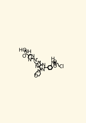 CN(Cc1nc2c(N3CCOCC3)nc(-c3cccc(NS(=O)(=O)CCCl)c3)nc2n1C)c1ncc(C(=O)NO)cn1